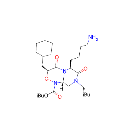 CC[C@H](C)CN1C[C@@H]2N(C(=O)OCC(C)C)O[C@@H](CC3CCCCC3)C(=O)N2[C@@H](CCCCN)C1=O